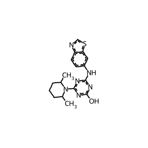 CC1CCCC(C)N1c1nc(O)nc(Nc2ccc3ncsc3c2)n1